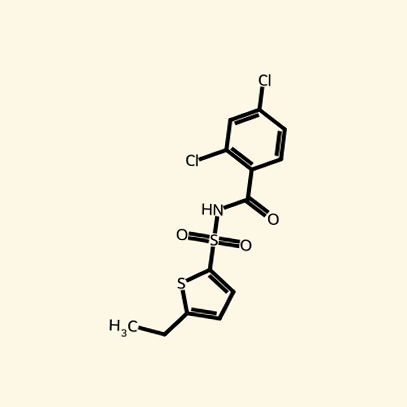 CCc1ccc(S(=O)(=O)NC(=O)c2ccc(Cl)cc2Cl)s1